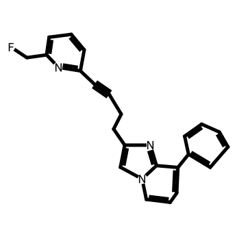 FCc1cccc(C#CCCc2cn3cccc(-c4ccccc4)c3n2)n1